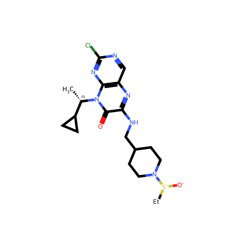 CC[S+]([O-])N1CCC(CNc2nc3cnc(Cl)nc3n([C@@H](C)C3CC3)c2=O)CC1